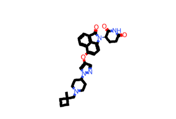 CC1(CN2CCC(n3cc(Oc4ccc5c6c(cccc46)C(=O)N5[C@H]4CCC(=O)NC4=O)cn3)CC2)CCC1